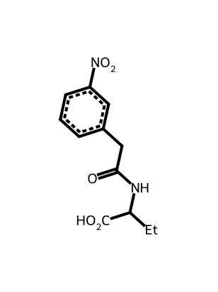 CCC(NC(=O)Cc1cccc([N+](=O)[O-])c1)C(=O)O